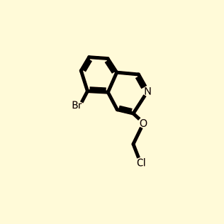 ClCOc1cc2c(Br)cccc2cn1